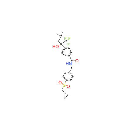 CC(C)(C)CC(O)(c1ccc(C(=O)NCc2ccc(S(=O)(=O)CC3CC3)cc2)cc1)C(F)(F)F